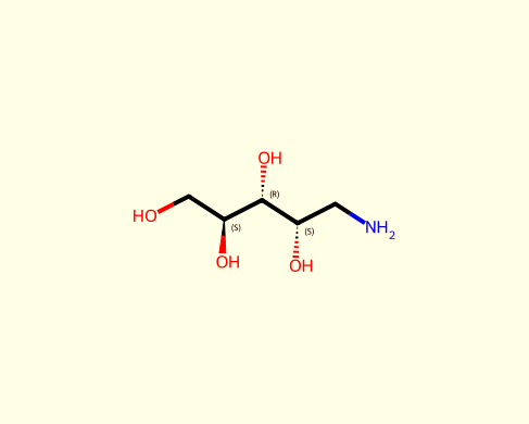 NC[C@H](O)[C@@H](O)[C@@H](O)CO